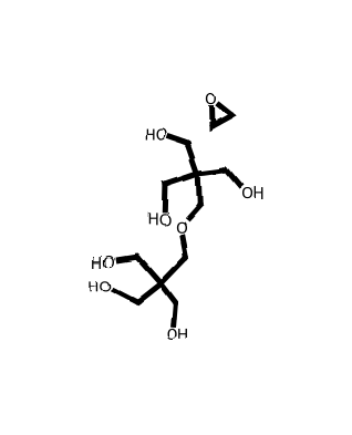 C1CO1.OCC(CO)(CO)COCC(CO)(CO)CO